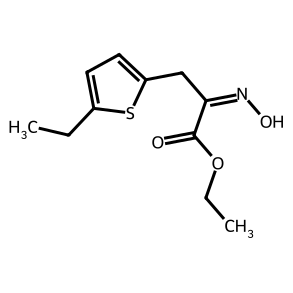 CCOC(=O)/C(Cc1ccc(CC)s1)=N\O